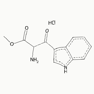 COC(=O)C(N)C(=O)c1c[nH]c2ccccc12.Cl